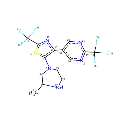 CC1CN(c2sc(C(F)(F)F)nc2-c2cnc(C(F)(F)F)nc2)CCN1